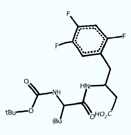 CCC(C)C(NC(=O)OC(C)(C)C)C(=O)NC(CC(=O)O)Cc1cc(F)c(F)cc1F